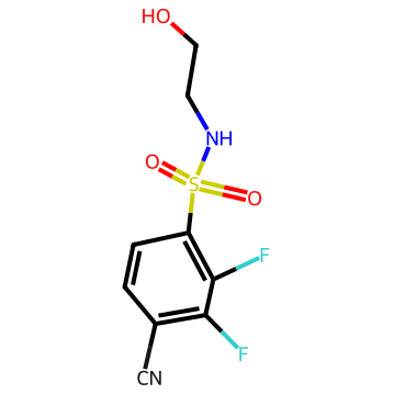 N#Cc1ccc(S(=O)(=O)NCCO)c(F)c1F